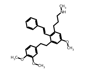 CNCCCc1cc(OC)cc(CCc2ccc(OC)c(OC)c2)c1C=Cc1ccccc1